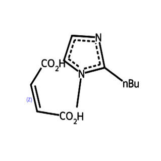 CCCCc1nccn1C.O=C(O)/C=C\C(=O)O